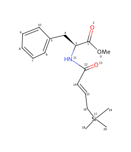 COC(=O)[C@H](Cc1ccccc1)NC(=O)C=CC[Si](C)(C)C